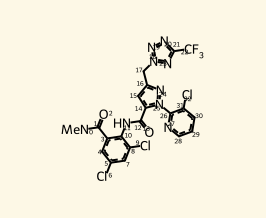 CNC(=O)c1cc(Cl)cc(Cl)c1NC(=O)c1cc(Cn2nnc(C(F)(F)F)n2)nn1-c1ncccc1Cl